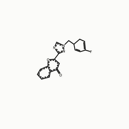 O=c1cc(-c2ncn(CC3C=CC(F)=CC3)n2)oc2ccccc12